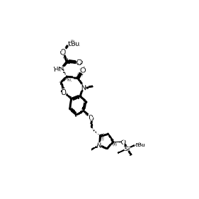 CN1C(=O)[C@@H](NC(=O)OC(C)(C)C)COc2ccc(OC[C@@H]3C[C@@H](O[Si](C)(C)C(C)(C)C)CN3C)cc21